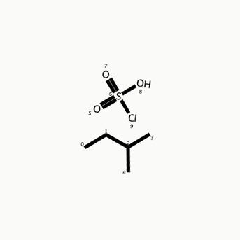 CCC(C)C.O=S(=O)(O)Cl